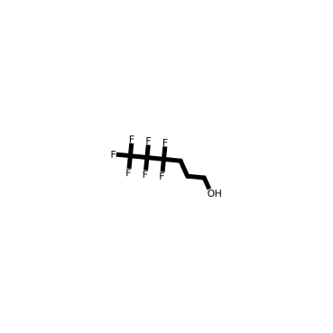 OCCCC(F)(F)C(F)(F)C(F)(F)F